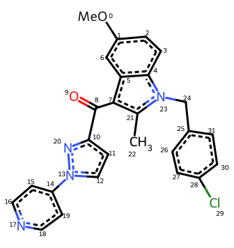 COc1ccc2c(c1)c(C(=O)c1ccn(-c3ccncc3)n1)c(C)n2Cc1ccc(Cl)cc1